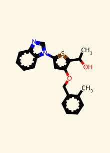 Cc1ccccc1COc1cc(-n2cnc3ccccc32)sc1C(C)O